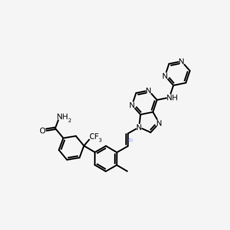 Cc1ccc(C2(C(F)(F)F)C=CC=C(C(N)=O)C2)cc1/C=C/n1cnc2c(Nc3ccncn3)ncnc21